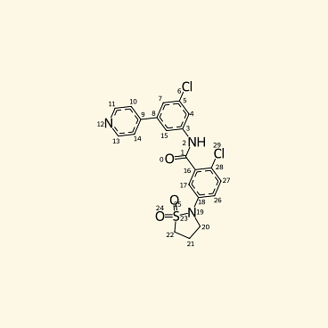 O=C(Nc1cc(Cl)cc(-c2ccncc2)c1)c1cc(N2CCCS2(=O)=O)ccc1Cl